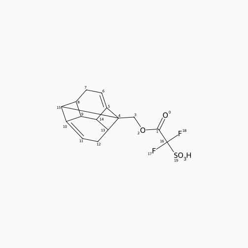 O=C(OCC12C3=CCC4C5C(=CCC1C35)C42)C(F)(F)S(=O)(=O)O